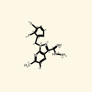 Cc1nc2c(cc1F)c(C(=N)NN)nn2Cc1cccc(F)c1F